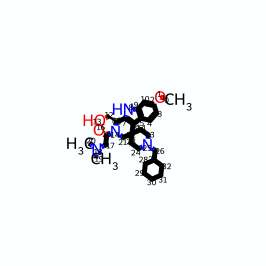 COc1ccc2c3c([nH]c2c1)[C@H](CO)N(C(=O)CN(C)C)CC31CCN(CC2CCCCC2)CC1